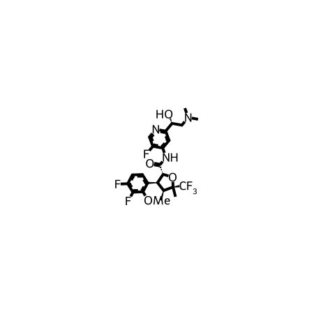 COc1c([C@H]2[C@H](C(=O)Nc3cc([C@H](O)CN(C)C)ncc3F)O[C@@](C)(C(F)(F)F)[C@H]2C)ccc(F)c1F